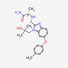 Cc1ccc(Oc2ccc3nc(CN[C@@H](C)C(N)=O)n(CC(C)(C)O)c3c2)cc1